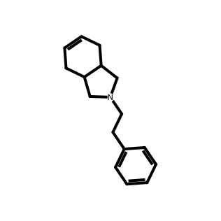 C1=CCC2CN(CCc3ccccc3)CC2C1